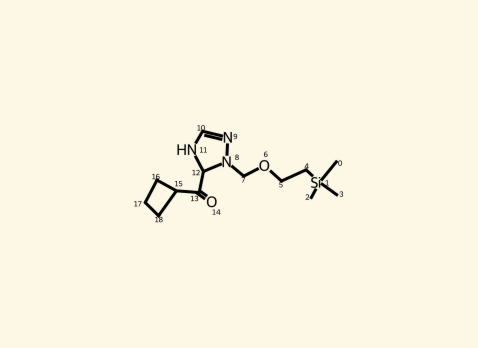 C[Si](C)(C)CCOCN1N=CNC1C(=O)C1CCC1